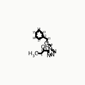 CCC(O)c1nnnn1COCc1ccccc1